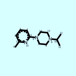 Cc1cccc(N2CCN(C(C)C)CC2)n1